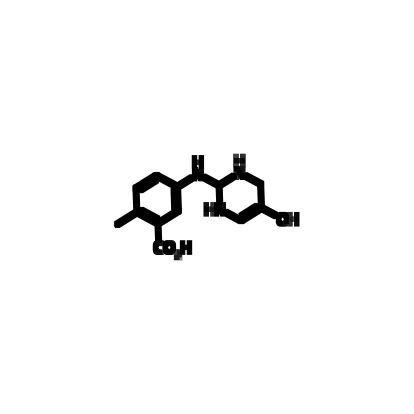 Cc1ccc(NC2NC=C(O)CN2)cc1C(=O)O